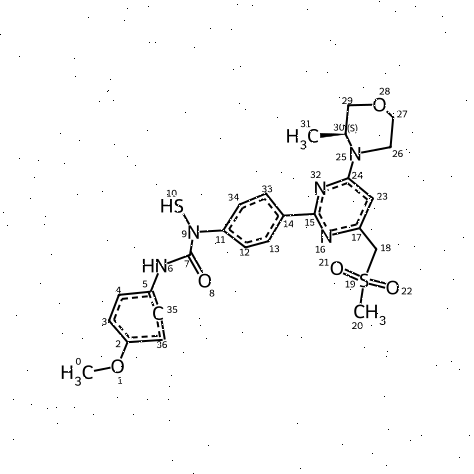 COc1ccc(NC(=O)N(S)c2ccc(-c3nc(CS(C)(=O)=O)cc(N4CCOC[C@@H]4C)n3)cc2)cc1